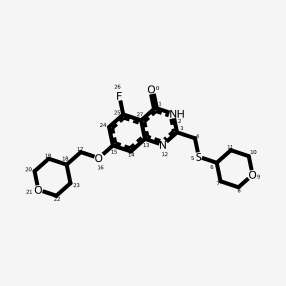 O=c1[nH]c(CSC2CCOCC2)nc2cc(OCC3CCOCC3)cc(F)c12